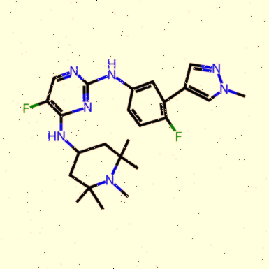 CN1C(C)(C)CC(Nc2nc(Nc3ccc(F)c(-c4cnn(C)c4)c3)ncc2F)CC1(C)C